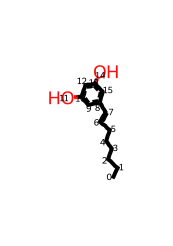 CCCCCCC=Cc1cc(O)cc(O)c1